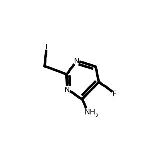 Nc1nc(CI)ncc1F